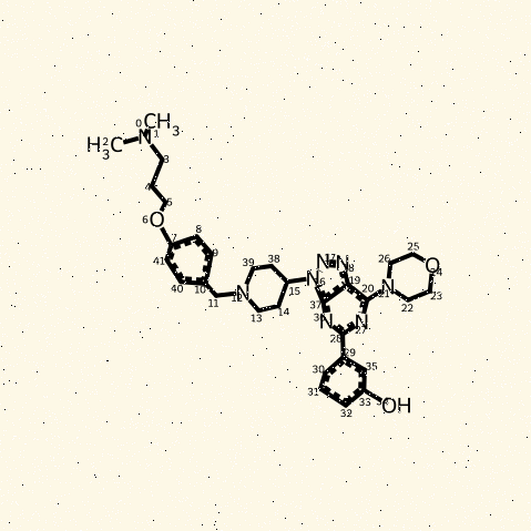 CN(C)CCCOc1ccc(CN2CCC(n3nnc4c(N5CCOCC5)nc(-c5cccc(O)c5)nc43)CC2)cc1